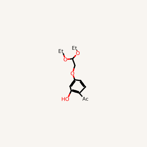 CCOC(COc1ccc(C(C)=O)c(O)c1)OCC